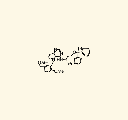 CCC[C@@H](CCO[Si](c1ccccc1)(c1ccccc1)C(C)(C)C)Nc1n[c]nc2cnn(Cc3cc(COC)ccc3OC)c12